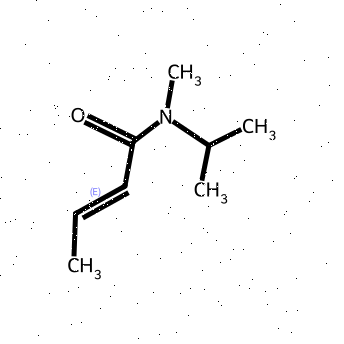 C/C=C/C(=O)N(C)C(C)C